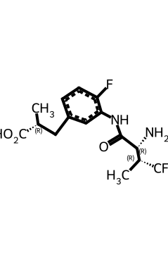 C[C@H](Cc1ccc(F)c(NC(=O)[C@H](N)[C@@H](C)C(F)(F)F)c1)C(=O)O